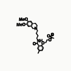 COc1cc2c(cc1OC)CN(CCCCNC(=O)c1cc(C)ccc1OCCOS(C)(=O)=O)CC2